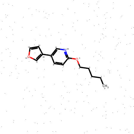 CCCCCOc1ccc(-c2[c]occ2)cn1